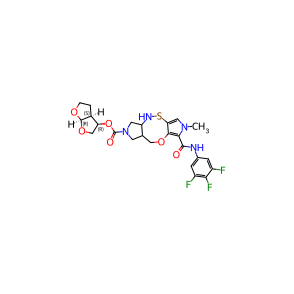 Cn1cc2c(c1C(=O)Nc1cc(F)c(F)c(F)c1)OCC1CN(C(=O)O[C@H]3CO[C@H]4OCC[C@H]43)CC1NS2